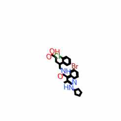 Cc1c(NC2CCCC2)nc2ccc(Br)cc2c1C(=O)NCC(CCC(=O)O)c1ccccc1Cl